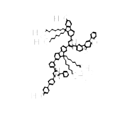 CCCCCCCCC1(CCCCCCCC)c2cc(C)ccc2-c2ccc(-c3cc(-c4ccc5c(c4)C(CCCCCCCC)(CCCCCCCC)c4cc(-c6cccc(-c7cc(-c8ccc(-c9ccc(C)cc9)cc8)nc(-c8ccccc8)n7)c6)ccc4-5)nc(-c4ccc5sc6cc7oc8ccccc8c7cc6c5c4)n3)cc21